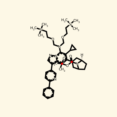 CC(C)(C)OC(=O)N1C2CC[C@@H]1CC(c1nc3c(-c4ccc(-c5ccccc5)nc4)cnn3c(N(COCC[Si](C)(C)C)COCC[Si](C)(C)C)c1C1CC1)C2